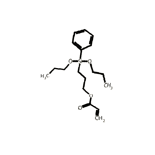 C=CC(=O)OCCC[Si](OCCC)(OCCC)c1ccccc1